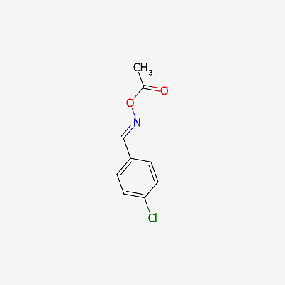 CC(=O)ON=Cc1ccc(Cl)cc1